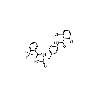 O=C(N[C@@H](Cc1ccc(NC(=O)c2c(Cl)cccc2Cl)cc1)C(=O)O)c1ccccc1C(F)(F)F